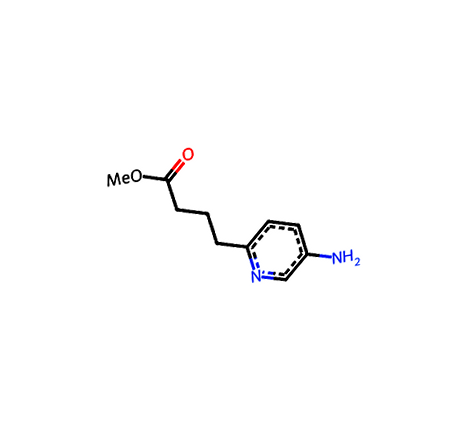 COC(=O)CCCc1ccc(N)cn1